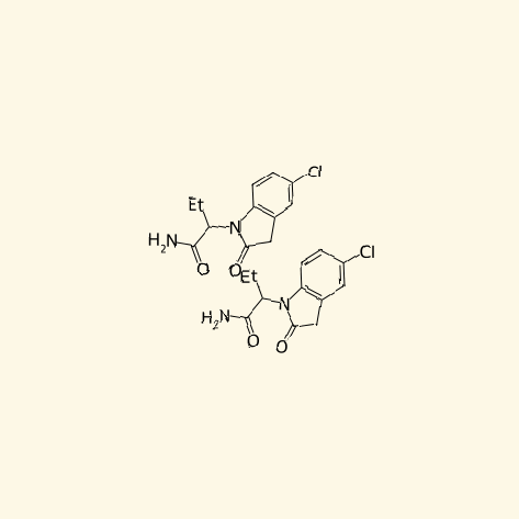 CCC(C(N)=O)N1C(=O)Cc2cc(Cl)ccc21.CCC(C(N)=O)N1C(=O)Cc2cc(Cl)ccc21